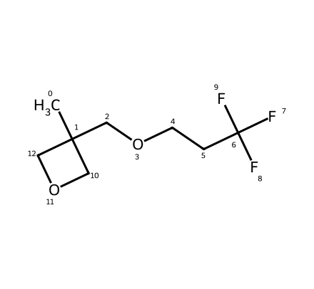 CC1(COCCC(F)(F)F)COC1